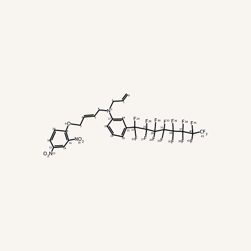 C=CCN(CC=CCOc1ccc([N+](=O)[O-])cc1[N+](=O)[O-])c1cccc(C(F)(F)C(F)(F)C(F)(F)C(F)(F)C(F)(F)C(F)(F)C(F)(F)C(F)(F)F)c1